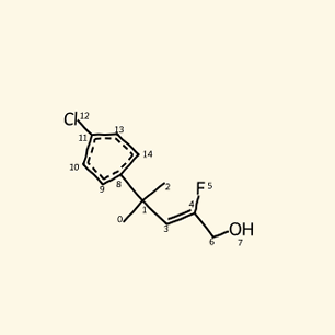 CC(C)(C=C(F)CO)c1ccc(Cl)cc1